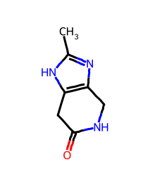 Cc1nc2c([nH]1)CC(=O)NC2